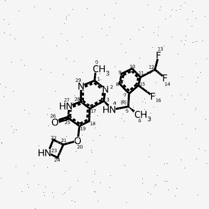 Cc1nc(N[C@H](C)c2cccc(C(F)F)c2F)c2cc(OC3CNC3)c(=O)[nH]c2n1